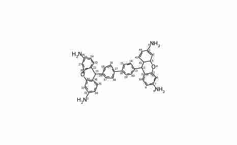 NC1=CC2Oc3cc(N)ccc3C(c3ccc(-c4ccc(C5c6ccc(N)cc6Oc6cc(N)ccc65)cc4)cc3)C2C=C1